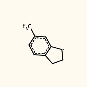 FC(F)(F)c1ccc2c(c1)[CH]CC2